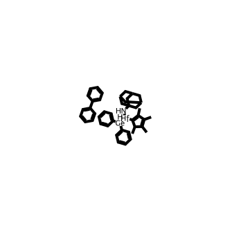 CC1=C(C)C(C)[C]([Hf]([NH]C23CC4CC(CC(C4)C2)C3)[GeH]([c]2ccccc2)[c]2ccccc2)=C1C.c1ccc(-c2ccccc2)cc1